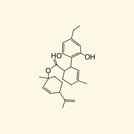 C=C(C)C1C=CC(C)(OC(=C)C2CCC(C)=CC2c2c(O)cc(CC)cc2O)CC1